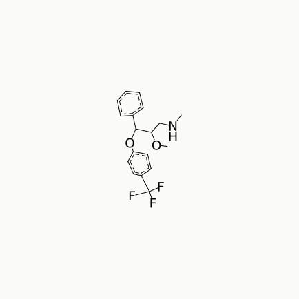 CNCC(OC)C(Oc1ccc(C(F)(F)F)cc1)c1ccccc1